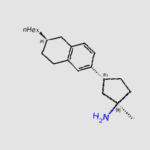 [CH2][C@@]1(N)CC[C@@H](c2ccc3c(c2)CC[C@@H](CCCCCC)C3)C1